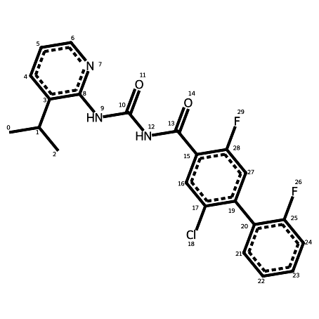 CC(C)c1cccnc1NC(=O)NC(=O)c1cc(Cl)c(-c2ccccc2F)cc1F